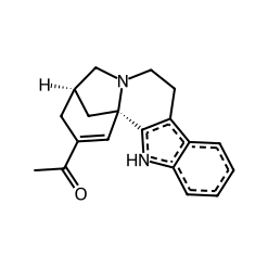 CC(=O)C1=C[C@@]23C[C@@H](C1)CN2CCc1c3[nH]c2ccccc12